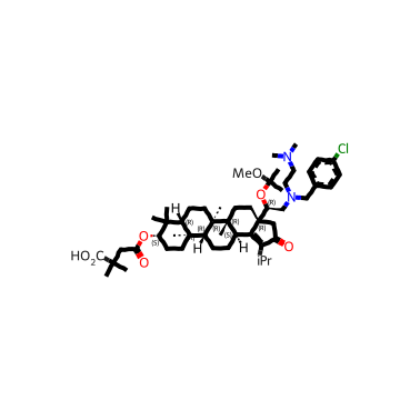 COC(C)(C)O[C@@H](CN(CCN(C)C)Cc1ccc(Cl)cc1)[C@@]12CC[C@]3(C)[C@H](CC[C@@H]4[C@@]5(C)CC[C@H](OC(=O)CC(C)(C)C(=O)O)C(C)(C)[C@@H]5CC[C@]43C)C1=C(C(C)C)C(=O)C2